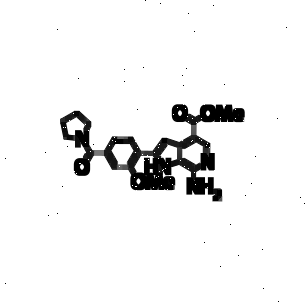 COC(=O)c1cnc(N)c2[nH]c(-c3ccc(C(=O)N4CCCC4)cc3OC)cc12